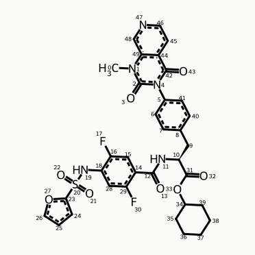 Cn1c(=O)n(-c2ccc(C[C@H](NC(=O)c3cc(F)c(NS(=O)(=O)c4ccco4)cc3F)C(=O)OC3CCCCC3)cc2)c(=O)c2ccncc21